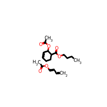 C=CC=COC(C)=O.CCCCOC(=O)C1CCC=CC1OC(C)=O